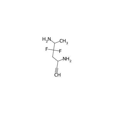 C#CC(N)CC(F)(F)C(C)N